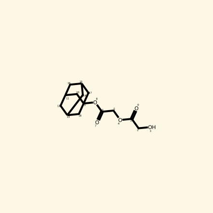 O=C(CO)OCC(=O)OC12CC3CC(CC(C3)C1)C2